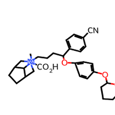 CN(C(=O)O)C1C2CCC1CN(CCCC(Oc1ccc(OC3CCCCO3)cc1)c1ccc(C#N)cc1)C2